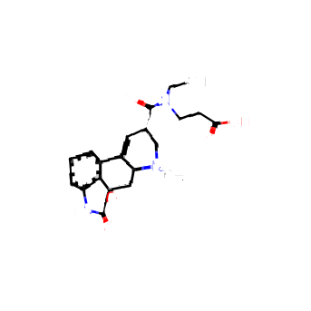 CCN(CCC(=O)O)C(=O)[C@@H]1C=C2c3cccc4c3C(O)(CC2N(C)C1)C(=O)N4